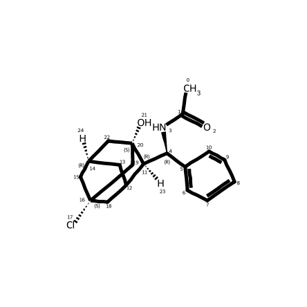 CC(=O)N[C@@H](c1ccccc1)[C@H]1C2C[C@H]3C[C@](Cl)(C2)C[C@@]1(O)C3